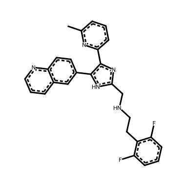 Cc1cccc(-c2nc(CNCCc3c(F)cccc3F)[nH]c2-c2ccc3ncccc3c2)n1